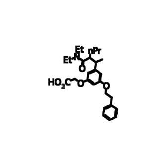 CCCC(C(=O)N(CC)CC)C(C)c1cc(OCCc2ccccc2)cc(OCC(=O)O)c1